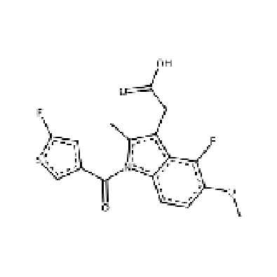 COc1ccc2c(c1F)c(CC(=O)O)c(C)n2C(=O)c1csc(F)c1